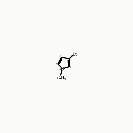 [CH2]Cc1ccn(C)c1